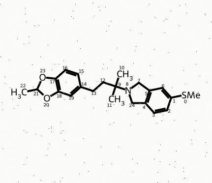 CSc1ccc2c(c1)CN(C(C)(C)CCc1ccc3c(c1)OC(C)O3)C2